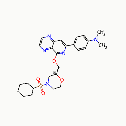 CN(C)c1ccc(-c2cc3nccnc3c(OC[C@@H]3CN(S(=O)(=O)C4CCCCC4)CCO3)n2)cc1